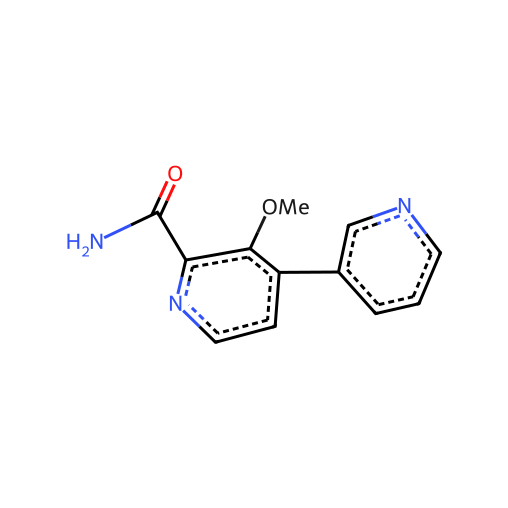 COc1c(-c2cccnc2)ccnc1C(N)=O